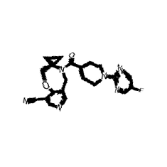 N#Cc1cncc2c1OCC1(CC1)N(C(=O)C1CCN(c3ncc(F)cn3)CC1)C2